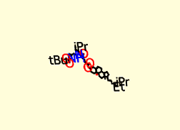 CCC(CCCC1CCC2C3CC=C4CC(OC(=O)CCCC(=O)N(CCC(C)C)CCC(C)NC(=O)OC(C)(C)C)CCC4(C)C3CCC12C)C(C)C